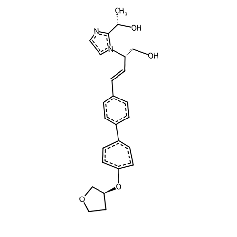 C[C@H](O)c1nccn1[C@@H](/C=C/c1ccc(-c2ccc(O[C@H]3CCOC3)cc2)cc1)CO